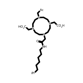 CC(=O)CN1CCN(CC(=O)O)CCN(CC(=O)NCCCCCCC(C)C)CCN(CC(=O)O)CC1